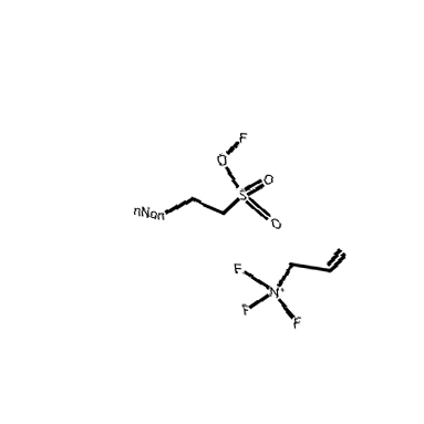 C=CC[N+](F)(F)F.CCCCCCCCCCCS(=O)(=O)OF